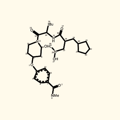 CNC(=O)c1ccc(OC2CCN(C(=O)C(NC(=O)C(CC3CCCC3)CN(O)C=O)C(C)(C)C)CC2)cc1